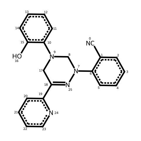 N#Cc1ccccc1N1CN(c2ccccc2O)CC(c2ccccn2)=N1